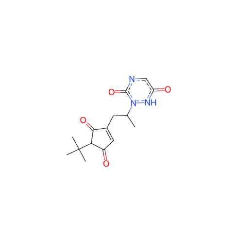 CC(CC1=CC(=O)C(C(C)(C)C)C1=O)n1[nH]c(=O)cnc1=O